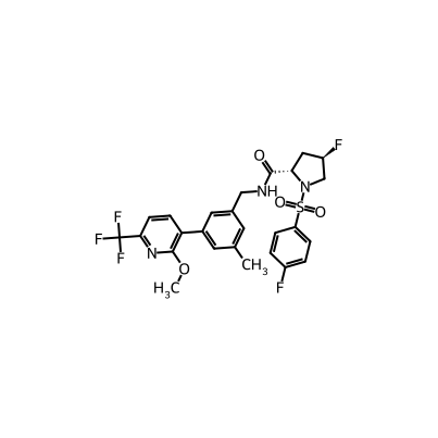 COc1nc(C(F)(F)F)ccc1-c1cc(C)cc(CNC(=O)[C@@H]2C[C@@H](F)CN2S(=O)(=O)c2ccc(F)cc2)c1